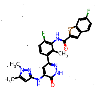 Cc1c(-c2cc(Nc3cc(C)n(C)n3)c(=O)[nH]n2)ccc(F)c1NC(=O)c1cc2ccc(F)cc2s1